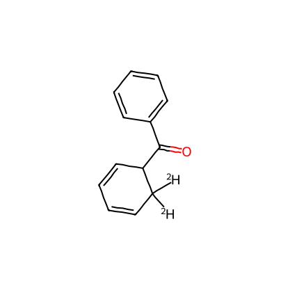 [2H]C1([2H])C=CC=CC1C(=O)c1ccccc1